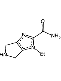 CCn1c(C(N)=O)nc2c1CNC2